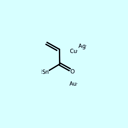 C=C[C](=O)[Sn].[Ag].[Au].[Cu]